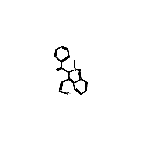 C=C(c1ccccc1)C(C(/C=C\CC)=c1/cccc/c1=C/C)N(C)C